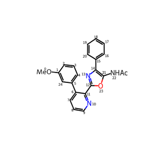 COc1cccc(-c2cccnc2-c2nc(-c3ccccc3)c(NC(C)=O)o2)c1